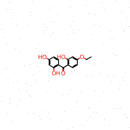 CCOc1ccc(C(=O)c2ccc(O)cc2O)c(O)c1